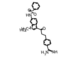 Cl.Cn1cc(C(=O)CCc2ccc(C(=N)N)cc2)c2ccc(NS(=O)(=O)c3ccccc3)cc21